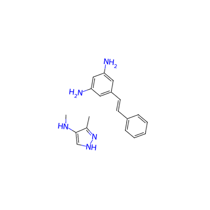 CNc1c[nH]nc1C.Nc1cc(N)cc(C=Cc2ccccc2)c1